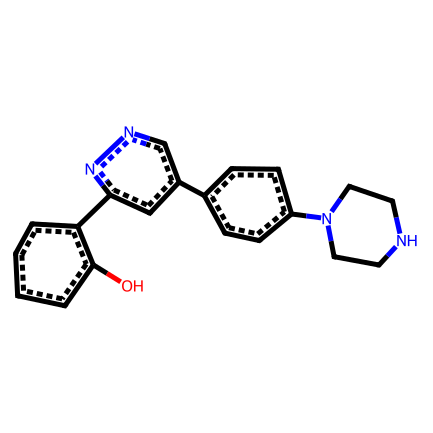 Oc1ccccc1-c1cc(-c2ccc(N3CCNCC3)cc2)cnn1